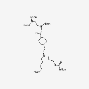 CCCCCCCCCCCCCCN(CCCOC(=O)CCCCCCCCC)CCC1CCN(C(=O)CN(CCCCCCCCC)CCN(CCCCCCCCC)CCCCCCCCC)CC1